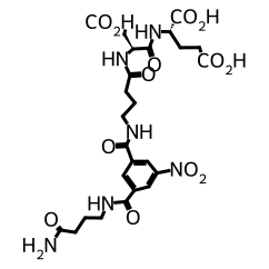 NC(=O)CCCNC(=O)c1cc(C(=O)NCCCC(=O)N[C@@H](CC(=O)O)C(=O)N[C@@H](CCC(=O)O)C(=O)O)cc([N+](=O)[O-])c1